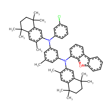 Cc1cc(N(c2cccc(Cl)c2)c2cc3c(cc2C)C(C)(C)CCC3(C)C)cc(N(c2cc3c(cc2C)C(C)(C)CCC3(C)C)c2cccc3c2oc2ccccc23)c1